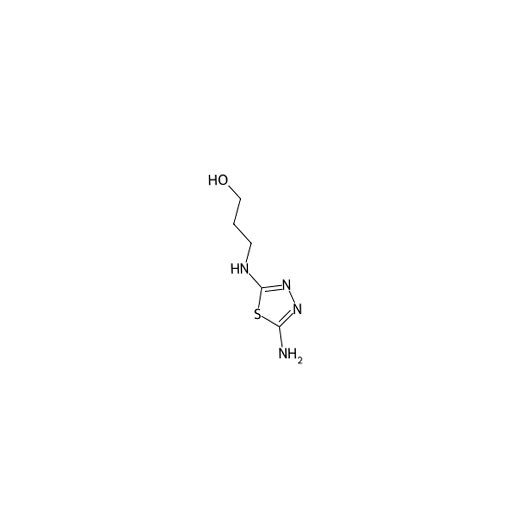 Nc1nnc(NCCCO)s1